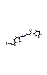 [N-]=[N+]=Nc1ccc(/C=C/CCC(=O)c2ccccc2)cc1